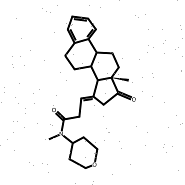 CN(C(=O)C/C=C1\CC(=O)[C@@]2(C)CCC3c4ccccc4CCC3C12)C1CCOCC1